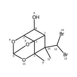 CC12CC3OC(OC(C3O)C1(C)C(Br)Br)O2